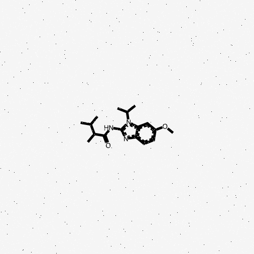 COc1ccc2nc(NC(=O)C(C)C(C)C)n(C(C)C)c2c1